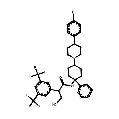 O=C(NC1(c2ccccc2)CCC(N2CCC(c3ccc(F)cc3)CC2)CC1)C(CO)c1cc(C(F)(F)F)cc(C(F)(F)F)c1